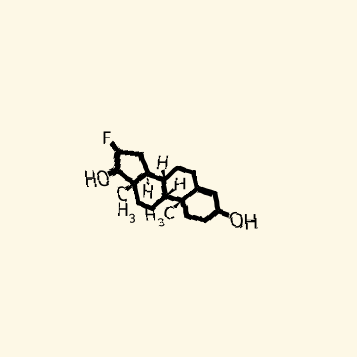 C[C@]12CCC(O)C=C1CC[C@@H]1[C@H]2CC[C@]2(C)C(O)C(F)C[C@@H]12